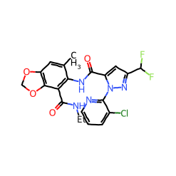 CCNC(=O)c1c(NC(=O)c2cc(C(F)F)nn2-c2ncccc2Cl)c(C)cc2c1OCO2